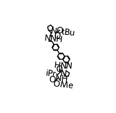 COC(=O)N[C@H](C(=O)N1CCC[C@H]1c1nc2ccc3cc(-c4ccc(-c5cnc(C6C7CCC(C7)N6C(=O)OC(C)(C)C)[nH]5)cc4)ccc3c2[nH]1)C(C)C